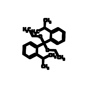 CCO[Si](OCC)(c1ccccc1C(C)C)c1ccccc1C(C)C